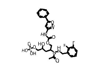 CC(=O)N(NCc1cccc(F)c1F)C(COC(=O)Nc1cc(-c2ccccc2)on1)CC(O)COP(=O)(O)O